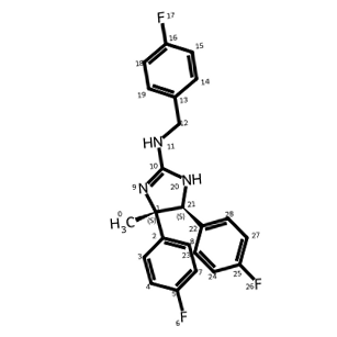 C[C@@]1(c2ccc(F)cc2)N=C(NCc2ccc(F)cc2)N[C@H]1c1ccc(F)cc1